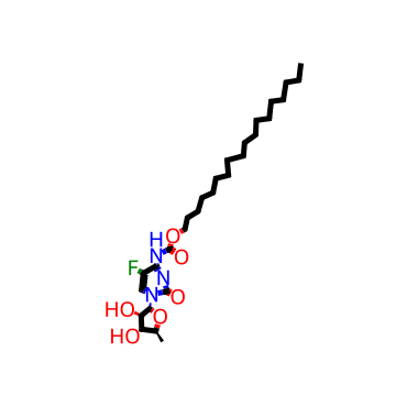 CCCCCCCCCCCCCCCCCCOC(=O)Nc1nc(=O)n([C@@H]2O[C@@H](C)[C@H](O)[C@H]2O)cc1F